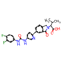 CC(C)C(C(=O)O)N1Cc2ccc(-c3ccc(NC(=O)Nc4ccc(F)c(F)c4)cn3)cc2C1=O